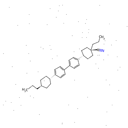 CCC[C@H]1CC[C@H](c2ccc(-c3ccc([C@H]4CC[C@@](C#N)(CCC)CC4)cc3)cc2)CC1